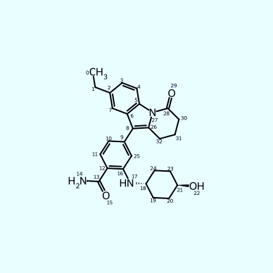 CCc1ccc2c(c1)c(-c1ccc(C(N)=O)c(N[C@H]3CC[C@H](O)CC3)c1)c1n2C(=O)CCC1